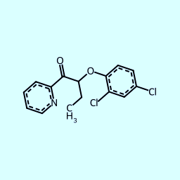 CCC(Oc1ccc(Cl)cc1Cl)C(=O)c1ccccn1